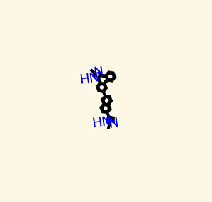 Cc1ncc(-c2ccc3cc(-c4ccc5c(c4)c4ccccc4c4nc(C)[nH]c54)ccc3c2)[nH]1